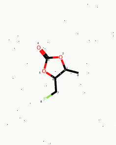 CC1OC(=O)OC1CF